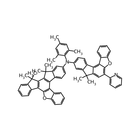 Cc1cc(C)c(N(c2ccc3c(c2)C(C)(C)c2cc(-c4ccccn4)c4oc5ccccc5c4c2-3)c2ccc3c(c2)C(C)(C)c2c4c(c5oc6ccccc6c5c2-3)-c2ccccc2C4(C)C)c(C)c1